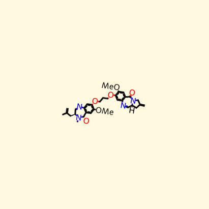 C=C(C)C[C@H]1C=Nc2cc(OCCCOc3cc4c(cc3OC)C(=O)N3CC(=C)C[C@H]3C=N4)c(OC)cc2C(=O)N1C